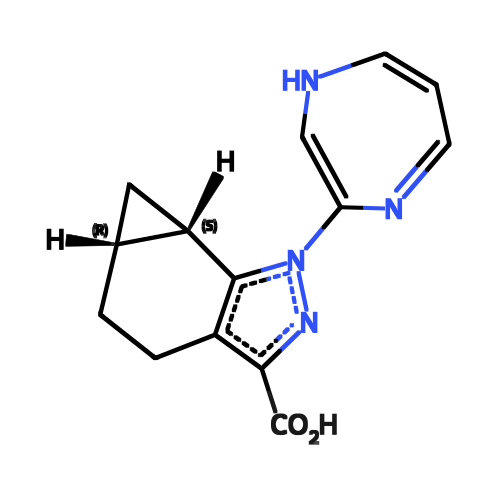 O=C(O)c1nn(C2=CNC=CC=N2)c2c1CC[C@@H]1C[C@H]21